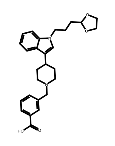 O=C(O)c1cccc(CN2CCC(c3cn(CCCC4OCCO4)c4ccccc34)CC2)c1